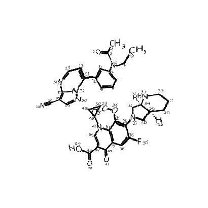 CCN(C(C)=O)c1cccc(-c2ccnc3c(C#N)cnn23)c1.COc1c(N2C[C@@H]3CCCN[C@@H]3C2)c(F)cc2c(=O)c(C(=O)O)cn(C3CC3)c12